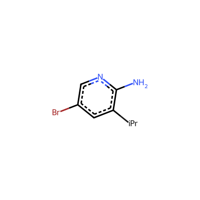 CC(C)c1cc(Br)cnc1N